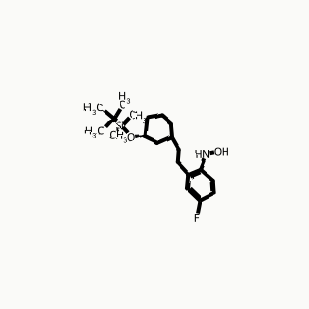 CC(C)(C)[Si](C)(C)O[C@H]1CCCC(CCc2cc(F)ccc2NO)C1